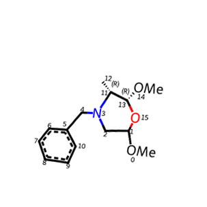 COC1CN(Cc2ccccc2)[C@H](C)[C@H](OC)O1